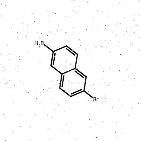 Bc1ccc2cc(Br)ccc2c1